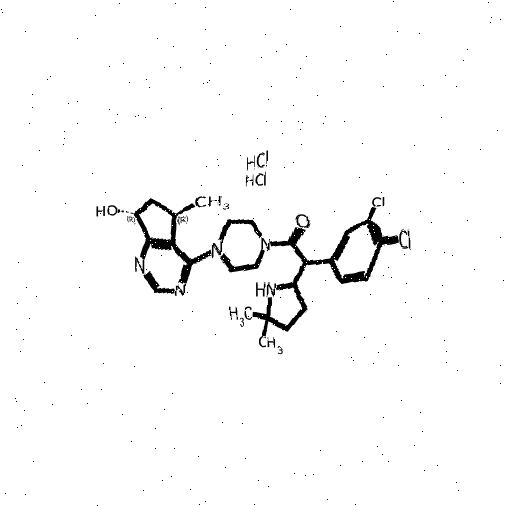 C[C@@H]1C[C@@H](O)c2ncnc(N3CCN(C(=O)C(c4ccc(Cl)c(Cl)c4)C4CCC(C)(C)N4)CC3)c21.Cl.Cl